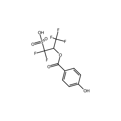 O=C(OC(C(F)(F)F)C(F)(F)S(=O)(=O)O)c1ccc(O)cc1